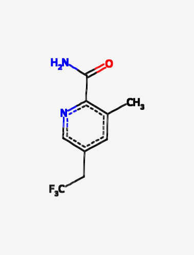 Cc1cc(CC(F)(F)F)cnc1C(N)=O